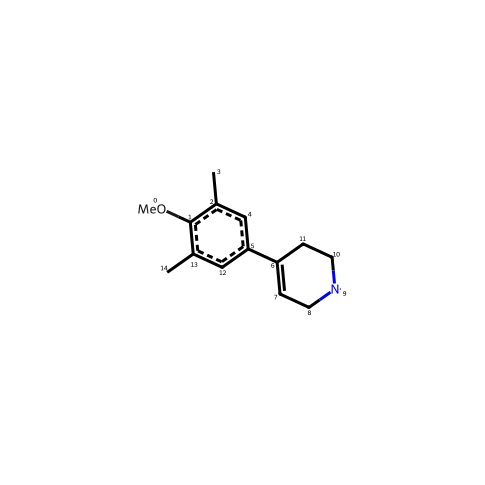 COc1c(C)cc(C2=CC[N]CC2)cc1C